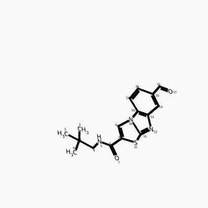 CC(C)(C)CNC(=O)c1cn2c(nc3cc(C=O)ccc32)s1